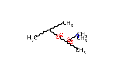 CCCCCCCCC(CCCCCCCC)CCCCOC(=O)CCCC(CCCCCCC)OC(=O)CCCN(C)C